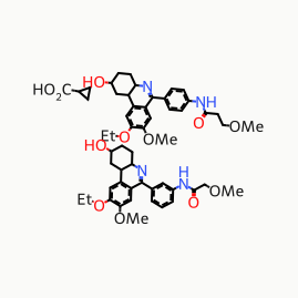 CCOc1cc2c(cc1OC)C(c1ccc(NC(=O)CCOC)cc1)=NC1CCC(O)CC21.CCOc1cc2c(cc1OC)C(c1cccc(NC(=O)COC)c1)=NC1CCC(O)CC21.O=C(O)C1CC1